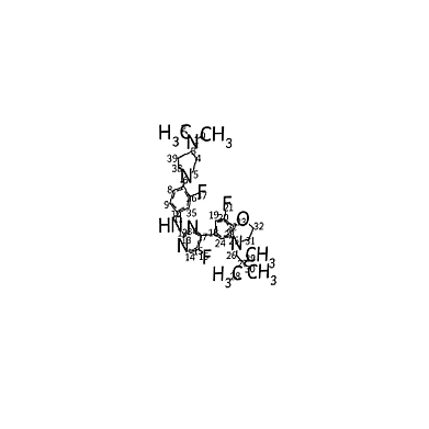 CN(C)C1CCN(c2ccc(Nc3ncc(F)c(-c4cc(F)c5c(c4)N(CC(C)(C)C)CCO5)n3)cc2F)CC1